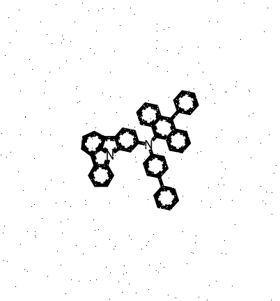 c1ccc(-c2ccc(N(c3ccc4c5cccc6c7ccccc7n(c4c3)c65)c3c4ccccc4c(-c4ccccc4)c4ccccc34)cc2)cc1